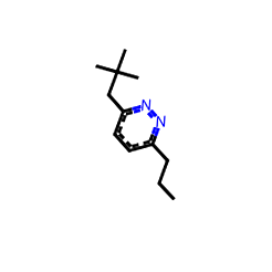 CCCc1ccc(CC(C)(C)C)nn1